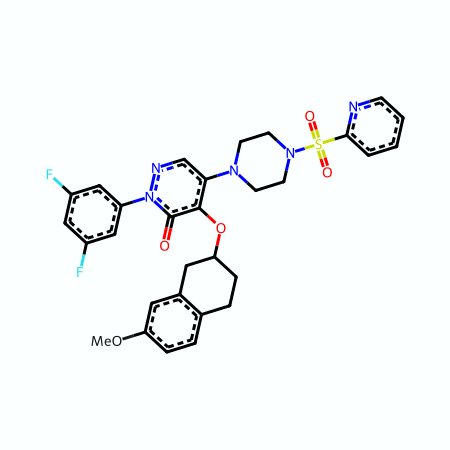 COc1ccc2c(c1)CC(Oc1c(N3CCN(S(=O)(=O)c4ccccn4)CC3)cnn(-c3cc(F)cc(F)c3)c1=O)CC2